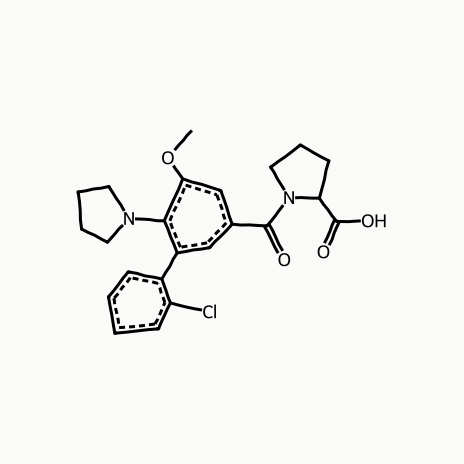 COc1cc(C(=O)N2CCCC2C(=O)O)cc(-c2ccccc2Cl)c1N1CCCC1